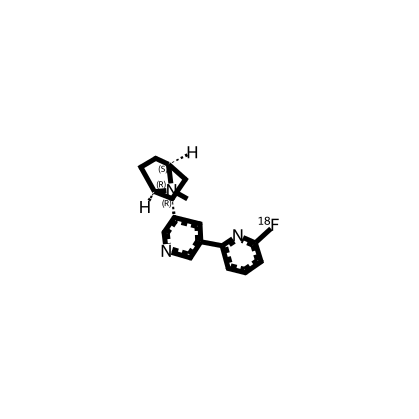 CN1[C@H]2CC[C@@H]1[C@@H](c1cncc(-c3cccc([18F])n3)c1)C2